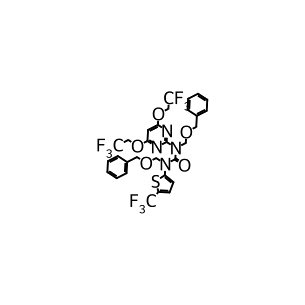 O=C(N(COCc1ccccc1)c1nc(OCC(F)(F)F)cc(OCC(F)(F)F)n1)N(COCc1ccccc1)c1ccc(C(F)(F)F)s1